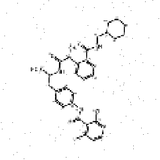 CN(C(=S)NC(Cc1ccc(NC(=O)c2c(Cl)cncc2Cl)cc1)C(=O)O)c1ccccc1C(=O)NCC1CCCCC1